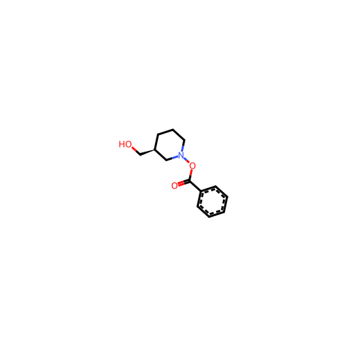 O=C(ON1CCC[C@H](CO)C1)c1ccccc1